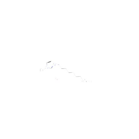 CCCCCCCCCCCCCCCC[n+]1ccn(CC)c1.[Br-]